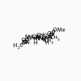 C=C1CC2C=Nc3cc(OCCCC(=O)Nc4cn(C)c(C(=O)Nc5cc(C(=O)Nc6cc(C(=O)n7ccc8cc(OC)ccc87)n(C)c6)n(C)c5)n4)c(N)cc3C(=O)N2C1